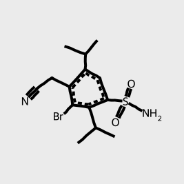 CC(C)c1cc(S(N)(=O)=O)c(C(C)C)c(Br)c1CC#N